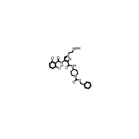 CNCCn1cc(NC(=O)c2c(Cl)cccc2Cl)c(C(=O)NC2CCN(C(=O)OCc3ccccc3)CC2)n1